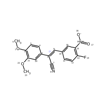 COc1ccc(/C(C#N)=C/c2ccc(F)c([N+](=O)[O-])c2)cc1OC